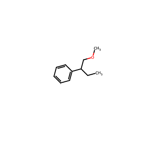 CCC(COC)c1c[c]ccc1